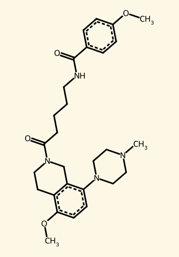 COc1ccc(C(=O)NCCCCC(=O)N2CCc3c(OC)ccc(N4CCN(C)CC4)c3C2)cc1